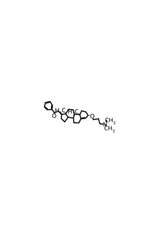 CN(C)CCCO[C@@H]1C=C2CCC3C4CCC(CC(=O)c5ccccc5)[C@@]4(C)CCC3[C@@]2(C)CC1